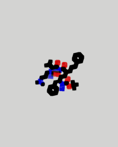 CC(C)[C@@H](NCCCN(C)C)C(=O)NC(=O)C(CC=Cc1ccccc1)C[C@H](O)[C@H](Cc1ccccc1)NC(=O)OC(C)(C)C